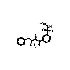 CC(C)(C)NS(=O)(=O)c1cccc(NC(=O)C(N)Cc2ccccc2)c1